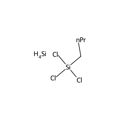 CCCC[Si](Cl)(Cl)Cl.[SiH4]